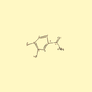 Cc1ccc(C([NH])=O)cc1F